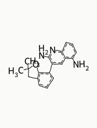 CC1(C)Cc2cccc(-c3cc4c(N)cccc4nc3N)c2O1